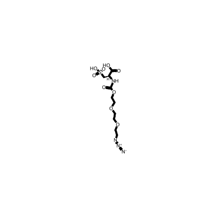 [N-]=[N+]=NCCOCCOCCOC(=O)N[C@@H](CS(=O)(=O)O)C(=O)O